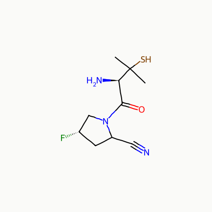 CC(C)(S)[C@H](N)C(=O)N1C[C@@H](F)CC1C#N